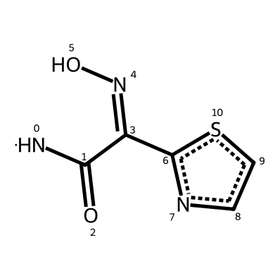 [NH]C(=O)/C(=N\O)c1nccs1